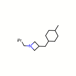 CC(C)CN1CC(CC2CCC(C)CC2)C1